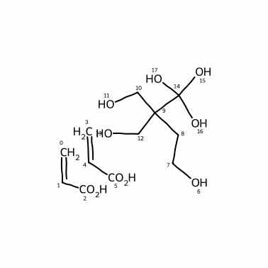 C=CC(=O)O.C=CC(=O)O.OCCC(CO)(CO)C(O)(O)O